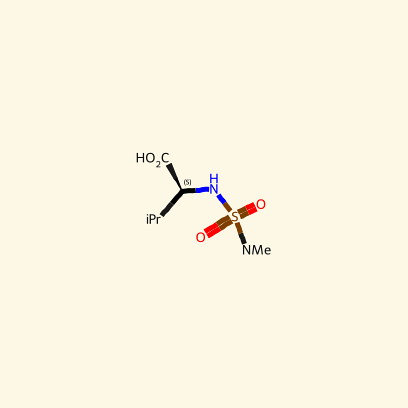 CNS(=O)(=O)N[C@H](C(=O)O)C(C)C